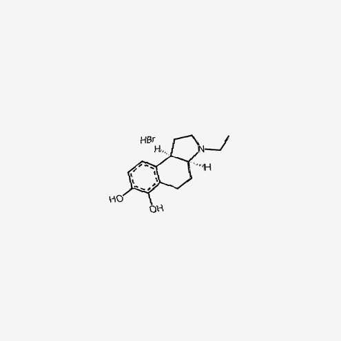 Br.CCN1CC[C@@H]2c3ccc(O)c(O)c3CC[C@@H]21